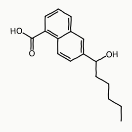 CCCCCC(O)c1ccc2c(C(=O)O)cccc2c1